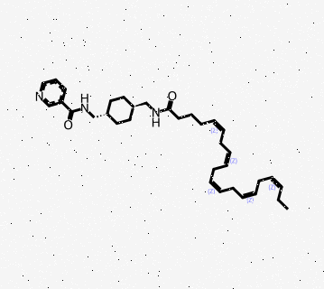 CC/C=C\C/C=C\C/C=C\C/C=C\C/C=C\CCCC(=O)NC[C@H]1CC[C@H](CNC(=O)c2cccnc2)CC1